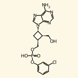 Nc1ncnc2c1ncn2[C@@H]1C[C@H](COP(=O)(O)Oc2cccc(Cl)c2)[C@@H]1CO